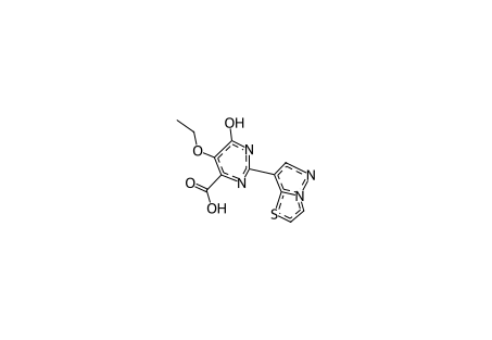 CCOc1c(O)nc(-c2cnn3ccsc23)nc1C(=O)O